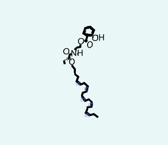 CC/C=C\C/C=C\C/C=C\C/C=C\C/C=C\CCCCO[C@H](CC)C(=O)NCCOC(=O)c1ccccc1O